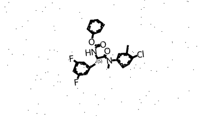 Cc1cc(N(C)C(=O)[C@H](Cc2cc(F)cc(F)c2)NC(=O)Oc2ccccc2)ccc1Cl